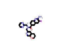 C[C@@H](c1ncccn1)N(Cc1cc2c(cn1)OCCC2)C(=O)c1ccc2nc(N)c(I)cc2c1